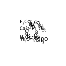 CCOc1nn(-c2cccc(C(F)(F)F)c2)cc1CCCOc1cccc(OC(C)(C)C(=O)[O-])c1.CCOc1nn(-c2cccc(C(F)(F)F)c2)cc1CCCOc1cccc(OC(C)(C)C(=O)[O-])c1.[Ca+2]